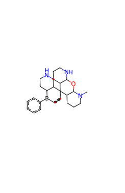 CN1CCCC2C1OC1NCCCC1C21c2ccccc2B(c2ccccc2)C2CCNCC21